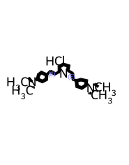 CCN(CC)c1ccc(/C=C/c2cccc(/C=C/c3ccc(N(CC)CC)cc3)n2)cc1.Cl